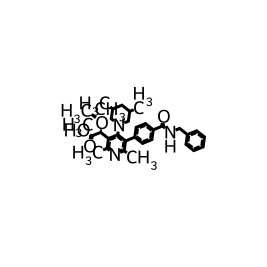 Cc1nc(C)c([C@H](OC(C)(C)C)C(=O)O)c(N2CC(C)CC(C)C2)c1-c1ccc(C(=O)NCc2ccccc2)cc1